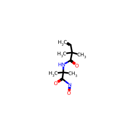 C=CC(C)(C)C(=O)NC(C)(C)C(=O)N=O